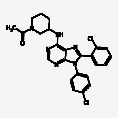 CC(=O)N1CCCC(Nc2ncnc3c2nc(-c2ccccc2Cl)n3-c2ccc(Cl)cc2)C1